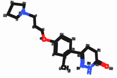 Cc1cc(OCCCN2CCCC2)ccc1C1=NNC(=O)CC1